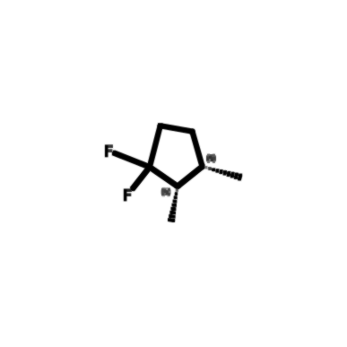 C[C@H]1CCC(F)(F)[C@H]1C